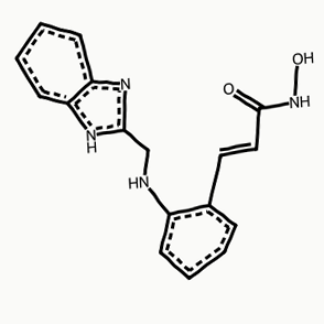 O=C(C=Cc1ccccc1NCc1nc2ccccc2[nH]1)NO